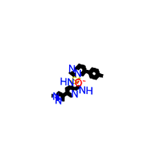 Cc1ccc(-c2ccc3ncc([S+]([O-])Nc4cc(-c5cnn(C)c5)cnc4C=N)n3c2)cc1